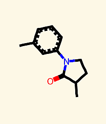 Cc1cccc(N2CCC(C)C2=O)c1